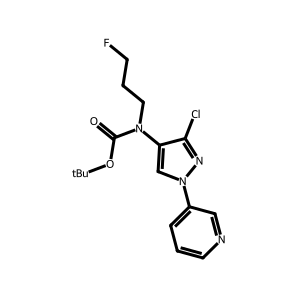 CC(C)(C)OC(=O)N(CCCF)c1cn(-c2cccnc2)nc1Cl